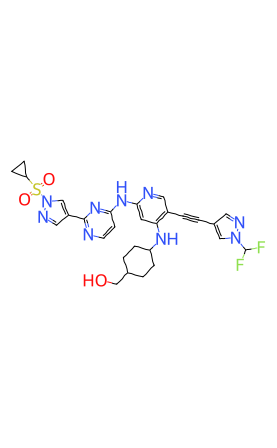 O=S(=O)(C1CC1)n1cc(-c2nccc(Nc3cc(NC4CCC(CO)CC4)c(C#Cc4cnn(C(F)F)c4)cn3)n2)cn1